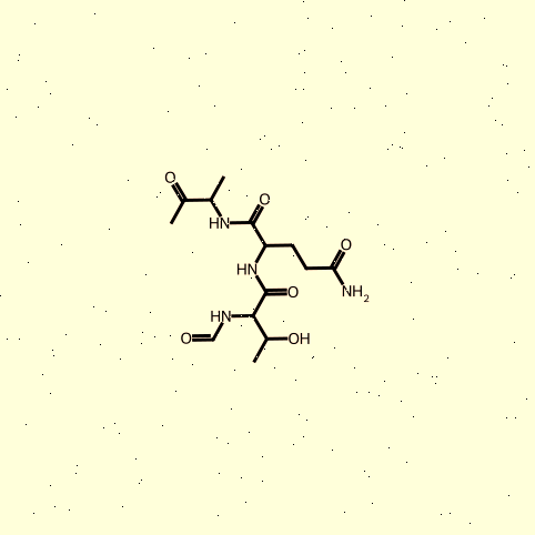 CC(=O)C(C)NC(=O)C(CCC(N)=O)NC(=O)C(NC=O)C(C)O